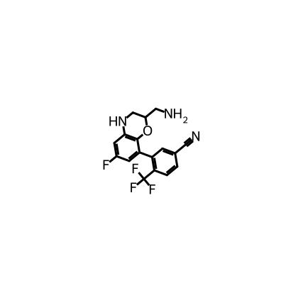 N#Cc1ccc(C(F)(F)F)c(-c2cc(F)cc3c2OC(CN)CN3)c1